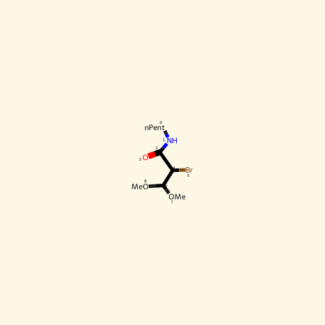 CCCCCNC(=O)C(Br)C(OC)OC